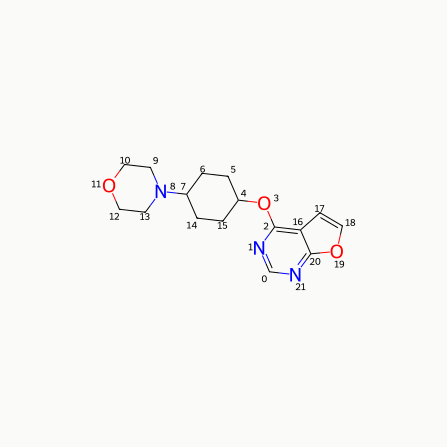 c1nc(OC2CCC(N3CCOCC3)CC2)c2ccoc2n1